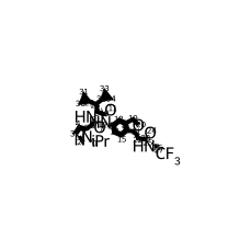 CC(C)n1nccc1C(=O)N[C@H](C(=O)Nc1ccc2c(c1)COC2CC(=O)NCC(F)(F)F)C(C1CC1)C1CC1